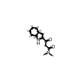 CN(C)C(=O)CC(=O)c1cc2ccccc2[nH]1